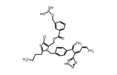 C\C=C/C=C(\C(=C/C)c1ccc(Cn2c(CCCC)nc(Cl)c2COC(=O)c2cccc(CON(O)O)c2)cc1)c1nn[nH]n1